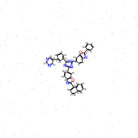 c1ccc(-c2nc3ccc(-c4nc(-c5cccc(-c6cncnc6)c5)nc(-c5ccc6nc(-c7cccc8ccccc78)oc6c5)n4)cc3o2)cc1